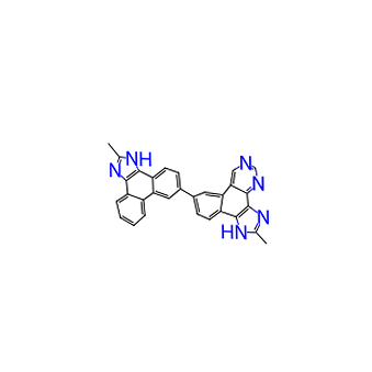 Cc1nc2c3ccccc3c3cc(-c4ccc5c(c4)c4cncnc4c4nc(C)[nH]c54)ccc3c2[nH]1